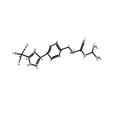 CC(C)OC(=O)NCc1ccc(-c2noc(C(F)(F)F)n2)cc1